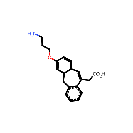 NCCCOC1=CC2Cc3ccccc3C(CC(=O)O)=CC2C=C1